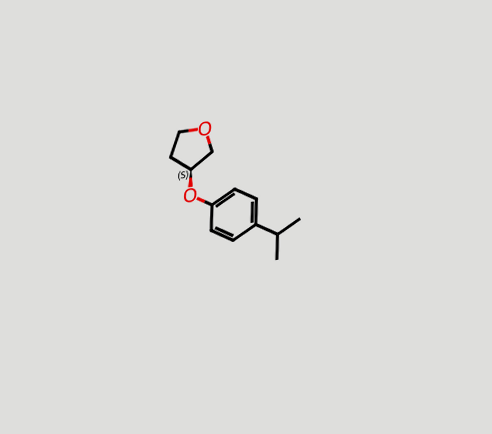 CC(C)c1ccc(O[C@H]2CCOC2)cc1